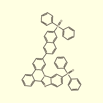 O=P(c1ccccc1)(c1ccccc1)c1ccc2cc(-c3ccc4c5ccccc5c5nc6ccc(P(=O)(c7ccccc7)c7ccccc7)cc6n5c4c3)ccc2c1